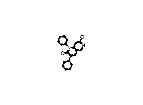 O=c1c(-c2ccccc2)cc2cnc(Cl)cc2n1-c1ccccc1